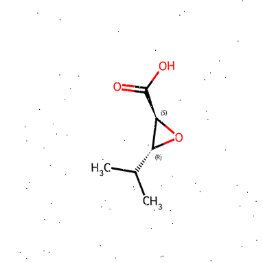 CC(C)[C@H]1O[C@@H]1C(=O)O